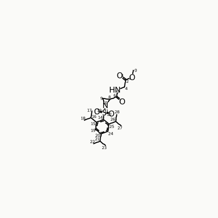 COC(=O)CNC(=O)C1CN1S(=O)(=O)c1c(C(C)C)cc(C(C)C)cc1C(C)C